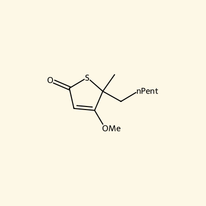 CCCCCCC1(C)SC(=O)C=C1OC